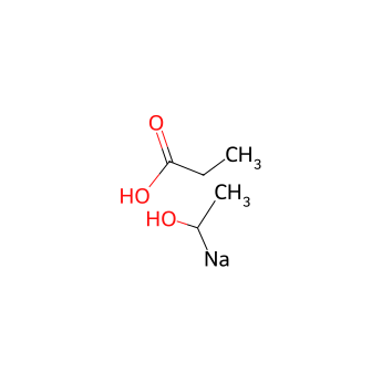 CCC(=O)O.C[CH](O)[Na]